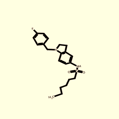 CCCCCCS(=O)(=O)Nc1ccc2c(c1)CCN2Cc1ccc(F)cc1